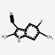 Cc1cc2[nH]c(N)c(C#N)c2cc1F